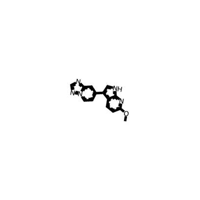 COc1ccc2c(-c3ccn4ncnc4c3)c[nH]c2n1